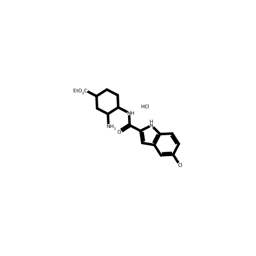 CCOC(=O)C1CCC(NC(=O)c2cc3cc(Cl)ccc3[nH]2)C(N)C1.Cl